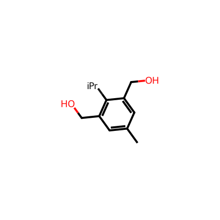 Cc1cc(CO)c(C(C)C)c(CO)c1